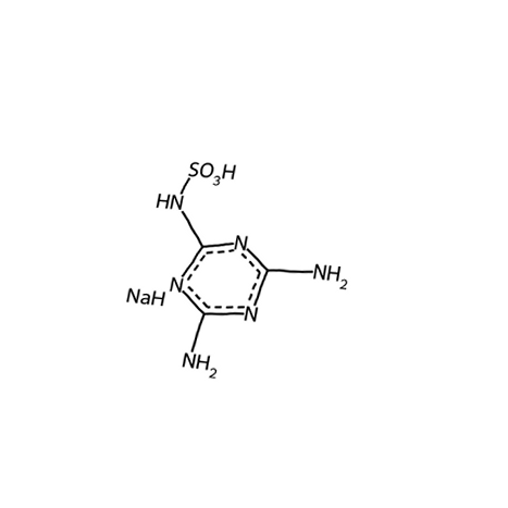 Nc1nc(N)nc(NS(=O)(=O)O)n1.[NaH]